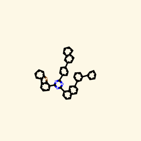 c1ccc(-c2cccc(-c3ccc4cccc(-c5nc(-c6ccc(-c7ccc8ccccc8c7)cc6)nc(-c6cccc7c6sc6ccccc67)n5)c4c3)c2)cc1